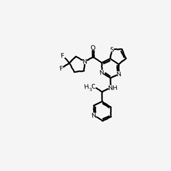 CC(Nc1nc(C(=O)N2CCC(F)(F)C2)c2sccc2n1)c1cccnc1